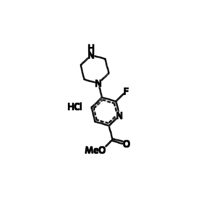 COC(=O)c1ccc(N2CCNCC2)c(F)n1.Cl